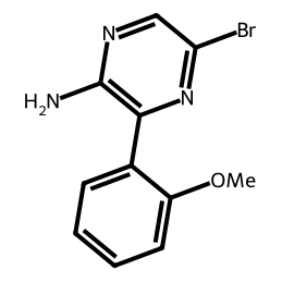 COc1ccccc1-c1nc(Br)cnc1N